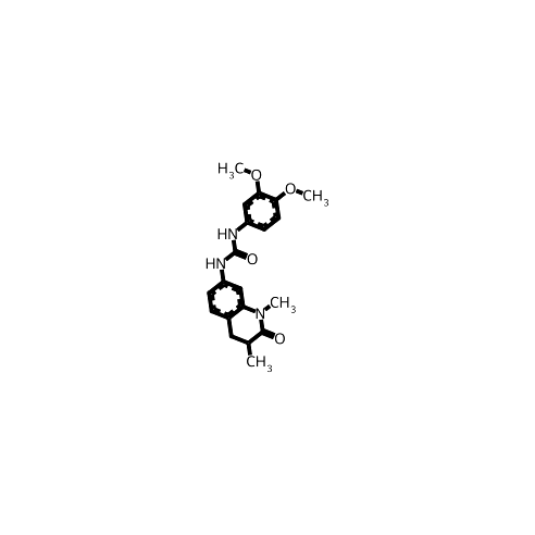 COc1ccc(NC(=O)Nc2ccc3c(c2)N(C)C(=O)C(C)C3)cc1OC